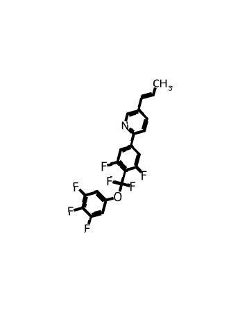 CC=Cc1ccc(-c2cc(F)c(C(F)(F)Oc3cc(F)c(F)c(F)c3)c(F)c2)nc1